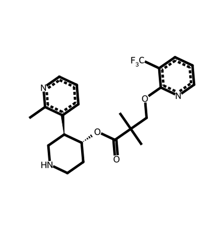 Cc1ncccc1[C@@H]1CNCC[C@H]1OC(=O)C(C)(C)COc1ncccc1C(F)(F)F